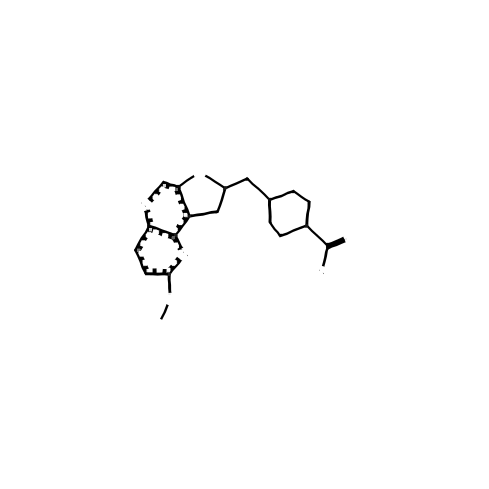 COc1ccc2ncc3c(c2n1)CC(CC1CCC(C(N)=O)CC1)O3